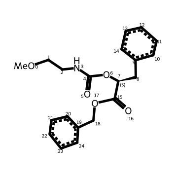 COCCNC(=O)O[C@@H](Cc1ccccc1)C(=O)OCc1ccccc1